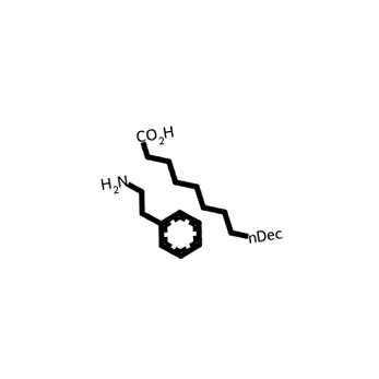 CCCCCCCCCCCCCCCCCC(=O)O.NCCc1ccccc1